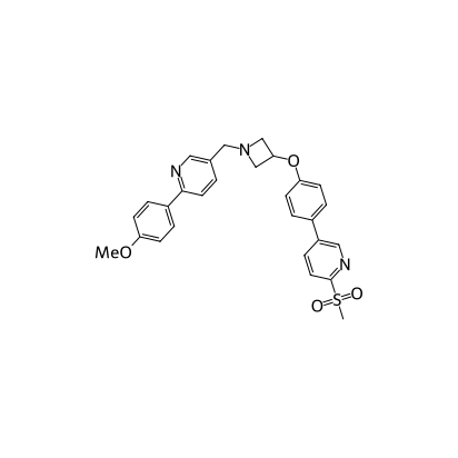 COc1ccc(-c2ccc(CN3CC(Oc4ccc(-c5ccc(S(C)(=O)=O)nc5)cc4)C3)cn2)cc1